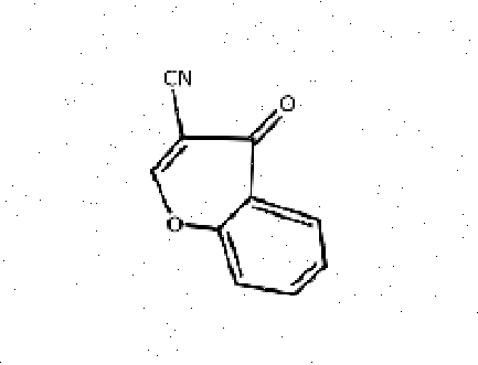 N#Cc1coc2ccccc2c1=O